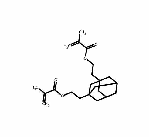 C=C(C)C(=O)OCCC12CC3CC(C1)CC(CCOC(=O)C(=C)C)(C3)C2